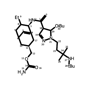 C=C(N[C@H]1C2=CC(CC1CC)C[C@H](COC(N)=O)C2)C1C=NN(CCC(C)(C)NC(C)(C)C)C1OCC(C)C